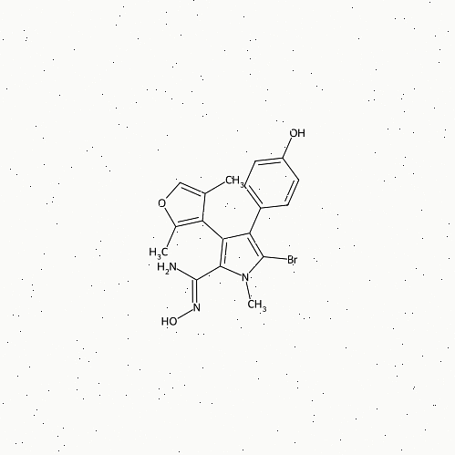 Cc1coc(C)c1-c1c(-c2ccc(O)cc2)c(Br)n(C)c1/C(N)=N/O